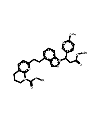 COc1ccc(C(CC(=O)OC(C)(C)C)n2ncc3c(CCc4ccc5c(n4)N(C(=O)OC(C)(C)C)CCC5)cccc32)cn1